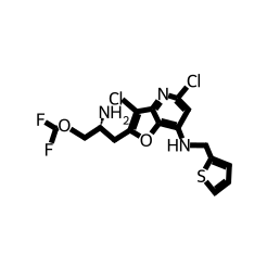 N[C@@H](COC(F)F)Cc1oc2c(NCc3cccs3)cc(Cl)nc2c1Cl